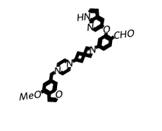 COc1cc(CN2CCN(C3CC4(C3)CN(c3ccc(C=O)c(Oc5cnc6[nH]ccc6c5)c3)C4)CC2)cc2occc12